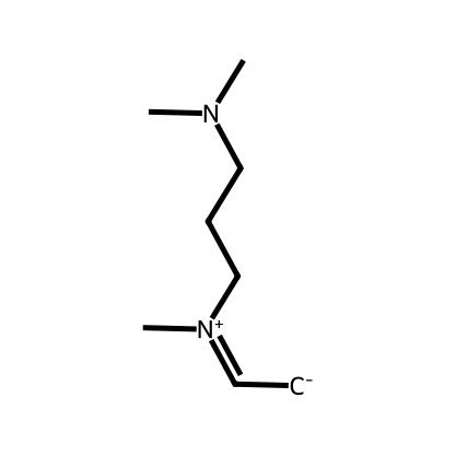 [CH2-]/C=[N+](/C)CCCN(C)C